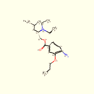 CCCOc1cc(C(=O)OC[C@H](CC(C)C)N(CC)CC)ccc1N